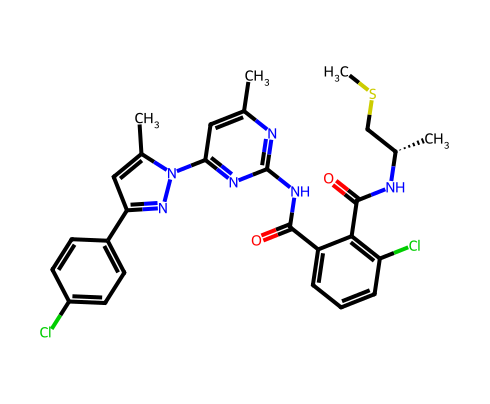 CSC[C@H](C)NC(=O)c1c(Cl)cccc1C(=O)Nc1nc(C)cc(-n2nc(-c3ccc(Cl)cc3)cc2C)n1